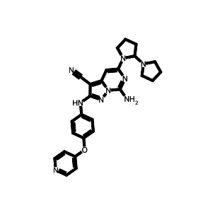 N#Cc1c(Nc2ccc(Oc3ccncc3)cc2)nn2c(N)nc(N3CCCC3N3CCCC3)cc12